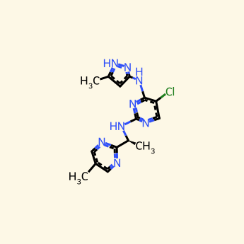 Cc1cnc([C@H](C)Nc2ncc(Cl)c(Nc3cc(C)[nH]n3)n2)nc1